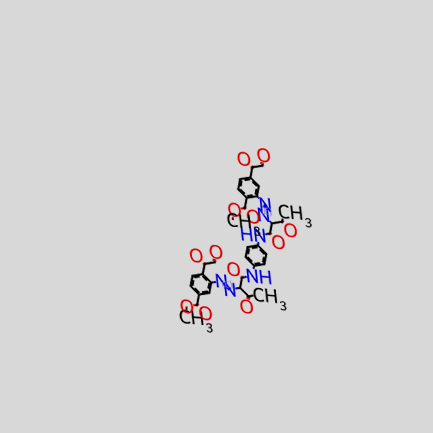 COC(=O)c1ccc(C(=O)C=O)c(/N=N/C(C(C)=O)C(=O)Nc2ccc(NC(=O)C(/N=N/c3cc(C(=O)C=O)ccc3C(=O)OC)C(C)=O)cc2)c1